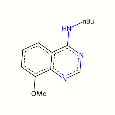 CCCCNc1ncnc2c(OC)cccc12